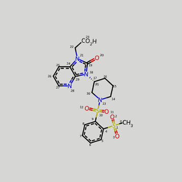 CS(=O)(=O)c1ccccc1S(=O)(=O)N1CCC[C@@H](n2c(=O)n(CC(=O)O)c3cccnc32)C1